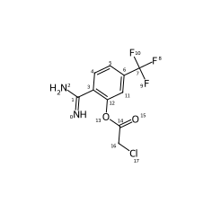 N=C(N)c1ccc(C(F)(F)F)cc1OC(=O)CCl